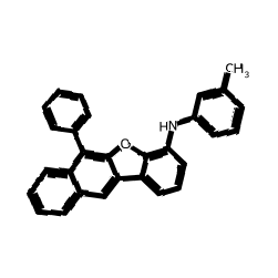 Cc1cccc(Nc2cccc3c2oc2c(-c4ccccc4)c4ccccc4cc23)c1